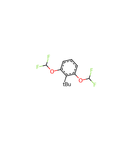 CC(C)(C)c1c(OC(F)F)cccc1OC(F)F